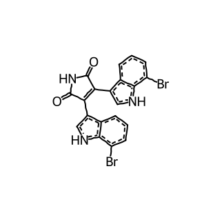 O=C1NC(=O)C(c2c[nH]c3c(Br)cccc23)=C1c1c[nH]c2c(Br)cccc12